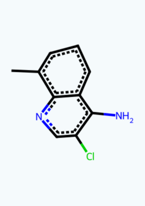 Cc1cccc2c(N)c(Cl)cnc12